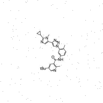 Cc1ccc(NC(=O)c2cc(C(C)(C)C)cnc2C)cc1-n1cc(-c2cnc(C3CC3)n2C)nn1